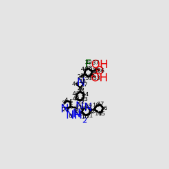 Nc1ncccc1-c1nc2ccc(-c3ccccc3)nc2n1-c1ccc(C2CN(Cc3cc(O)c(C(=O)O)c(F)c3)C2)cc1